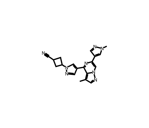 Cc1cnn2cc(-c3cnn(C)c3)nc(-c3cnn(C4CC(C#N)C4)c3)c12